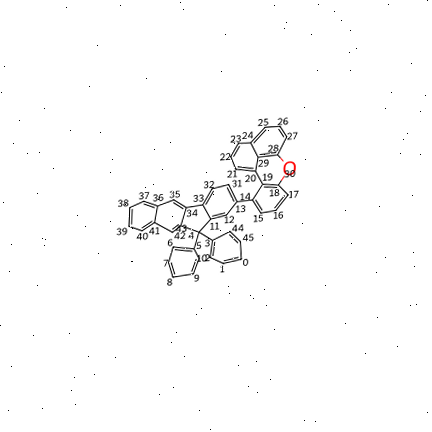 c1ccc(C2(c3ccccc3)c3cc(-c4cccc5c4-c4cccc6cccc(c46)O5)ccc3-c3cc4ccccc4cc32)cc1